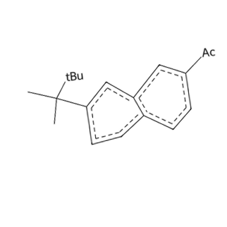 CC(=O)c1ccc2ccc(C(C)(C)C(C)(C)C)cc2c1